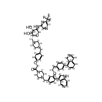 O=C(COc1ccc(CN2CCN(C[C@H]3OC[C@H](Nc4cncc(C(F)(F)F)n4)[C@@H](O)[C@H]3O)CC2)cc1)N1CCN(Cc2ccc(-c3c[nH]c4ccncc34)c(OCCc3ccc(-c4cccc5ccncc45)cc3)c2)CC1